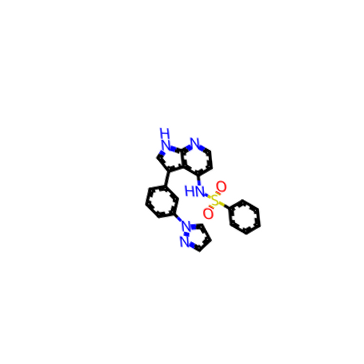 O=S(=O)(Nc1ccnc2[nH]cc(-c3cccc(-n4cccn4)c3)c12)c1ccccc1